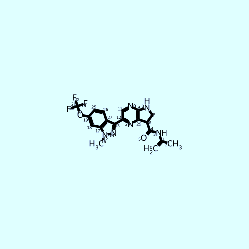 C=C(C)NC(=O)C1CNc2ncc(-c3nn(C)c4cc(OC(F)(F)F)ccc34)nc21